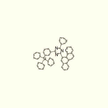 c1ccc(-c2nc(-c3cccc([Si](c4ccccc4)(c4ccccc4)c4ccccc4)c3)nc(-c3cc4ccccc4c4ccc5ccccc5c34)n2)cc1